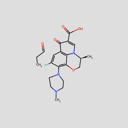 CCC=O.C[C@H]1COc2c(N3CCN(C)CC3)c(F)cc3c(=O)c(C(=O)O)cn1c23